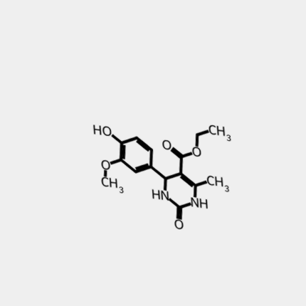 CCOC(=O)C1=C(C)NC(=O)NC1c1ccc(O)c(OC)c1